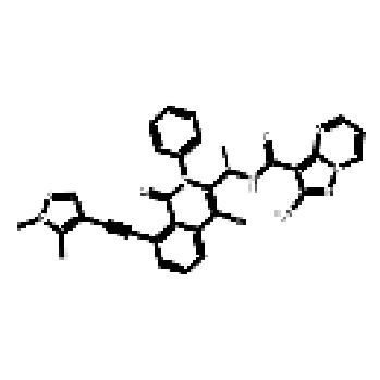 Cc1c(C#Cc2cccc3c(Br)c([C@@H](C)NC(=O)c4c(N)nn5cccnc45)n(-c4ccccc4)c(=O)c23)cnn1C